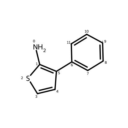 Nc1sccc1-c1cc[c]cc1